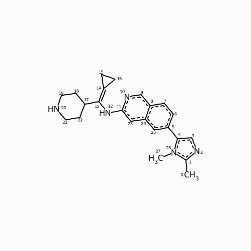 Cc1ncc(-c2ccc3cnc(NC(=C4CC4)C4CCNCC4)cc3c2)n1C